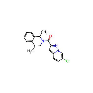 CC1CN(C(=O)c2cc3ccc(Cl)cn3n2)C(C)c2ccccc21